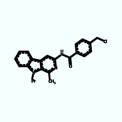 Cc1nc(NC(=O)c2ccc(CCl)cc2)cc2c3ccccc3n(C(C)C)c12